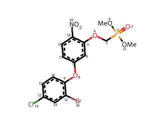 COP(=O)(COc1cc(Oc2ccc(Cl)cc2Br)ccc1[N+](=O)[O-])OC